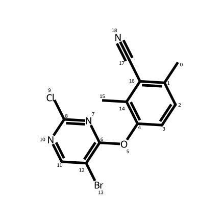 Cc1ccc(Oc2nc(Cl)ncc2Br)c(C)c1C#N